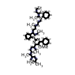 C=C(C)\C=C/C(=C\C)C(/C)=C/C=C\C(=C/C)c1nc(-n2c(=C/C)/c(=C\C/C(C)=C/C=C/N(C3=CC=CC=CC3)/C(C)=C(/C=C\CC)CC)c3ccccc32)nc(C2=CC=CC=CC2)c1OC